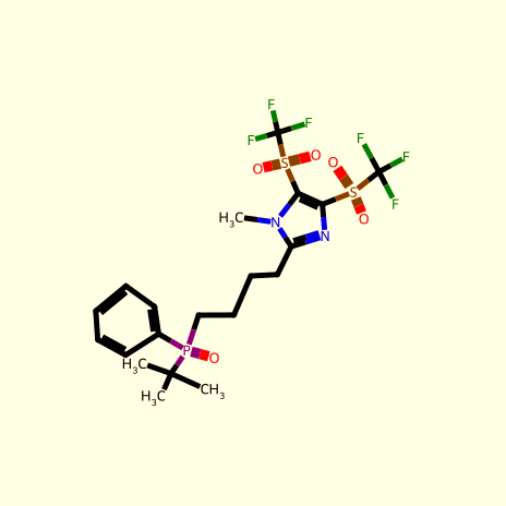 Cn1c(CCCCP(=O)(c2ccccc2)C(C)(C)C)nc(S(=O)(=O)C(F)(F)F)c1S(=O)(=O)C(F)(F)F